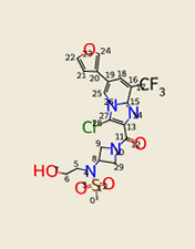 CS(=O)(=O)N(CCO)C1CN(C(=O)c2nc3c(C(F)(F)F)cc(-c4ccoc4)cn3c2Cl)C1